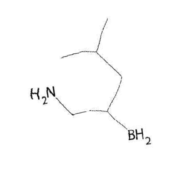 BC(CN)CC(C)C